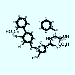 CCCc1cc(C(=O)N[C@H](Cc2ccccc2)[C@@H](O)C(=O)O)nn1Cc1ccc(-c2ccccc2C(=O)O)c(F)c1F